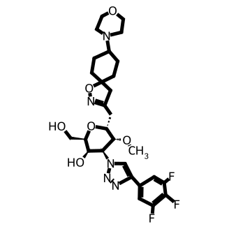 CO[C@@H]1[C@@H](n2cc(-c3cc(F)c(F)c(F)c3)nn2)[C@@H](O)[C@@H](CO)O[C@@H]1CC1=NOC2(CCC(N3CCOCC3)CC2)C1